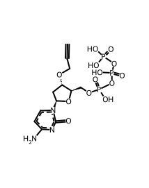 C#CCO[C@H]1C[C@H](n2ccc(N)nc2=O)O[C@@H]1COP(=O)(O)OP(=O)(O)OP(=O)(O)O